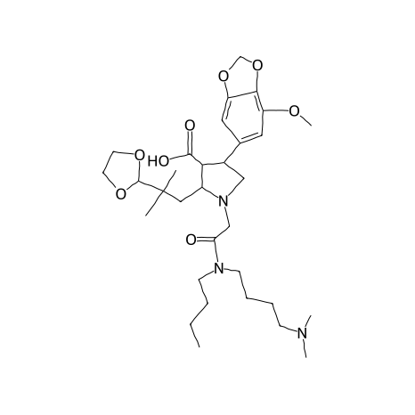 CCCCN(CCCCN(C)C)C(=O)CN1CC(c2cc(OC)c3c(c2)OCO3)C(C(=O)O)C1CC(C)(C)C1OCCO1